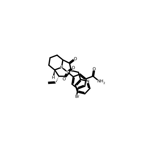 C=C[C@H]1CN(Cc2ccccn2)C(=O)C2CCC[C@@H]1N2S(=O)(=O)c1cc(Br)cc(C(N)=O)c1